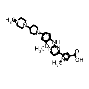 COc1cc(N2CCC(N3CCN(C)CC3)CC2)ccc1Nc1nccc(-c2cc(C(=O)O)cn2C)n1